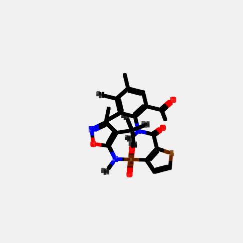 [2H]c1c(C)cc(C(C)=O)c(N([2H])C(=O)c2sccc2S(=O)(=O)N([2H])c2onc(C)c2C([2H])([2H])[2H])c1C